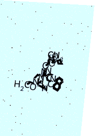 C=CC(=O)N1CCN(c2nc(OCCN(C)S(=O)(=O)C3CCC3)nc3c2CCN(c2cccc4cccc(C)c24)C3)C[C@@H]1CC#N